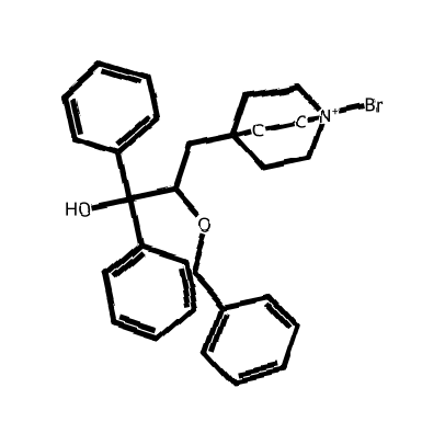 OC(c1ccccc1)(c1ccccc1)C(CC12CC[N+](Br)(CC1)CC2)OCc1ccccc1